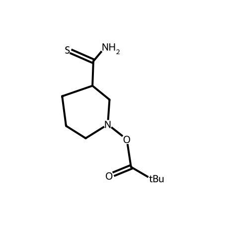 CC(C)(C)C(=O)ON1CCCC(C(N)=S)C1